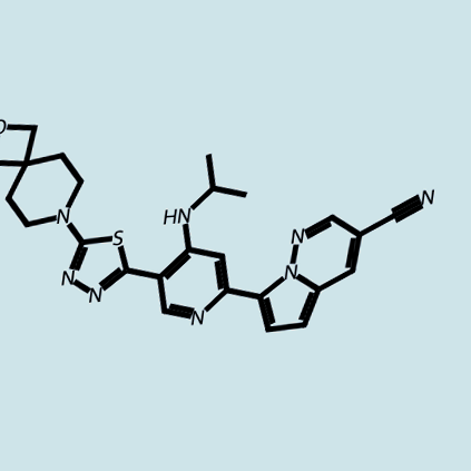 CC(C)Nc1cc(-c2ccc3cc(C#N)cnn23)ncc1-c1nnc(N2CCC3(CC2)COC3)s1